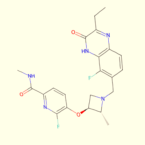 CCc1nc2ccc(CN3C[C@H](Oc4ccc(C(=O)NC)nc4F)[C@H]3C)c(F)c2[nH]c1=O